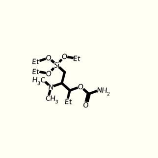 CCO[Si](CC(C(CC)OC(N)=O)N(C)C)(OCC)OCC